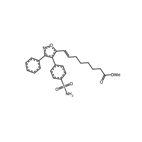 COC(=O)CCCCCC=Cc1onc(-c2ccccc2)c1-c1ccc(S(N)(=O)=O)cc1